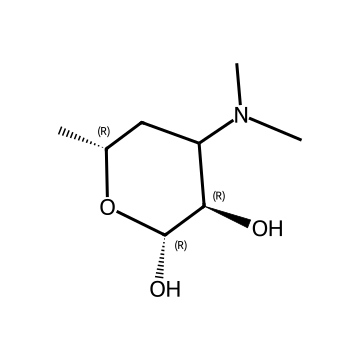 C[C@@H]1CC(N(C)C)[C@@H](O)[C@H](O)O1